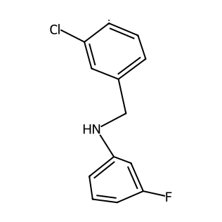 Fc1cccc(NCc2cc[c]c(Cl)c2)c1